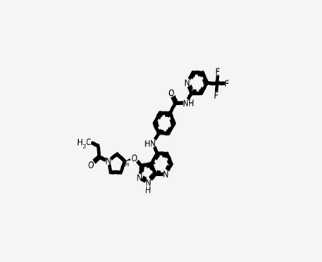 CCC(=O)N1CC[C@@H](Oc2n[nH]c3nccc(Nc4ccc(C(=O)Nc5cc(C(F)(F)F)ccn5)cc4)c23)C1